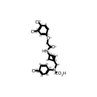 O=C(COc1ccc(Cl)c(Cl)c1)NC12CC(CN(C(=O)O)c3ccc(Cl)cc3)(C1)C2